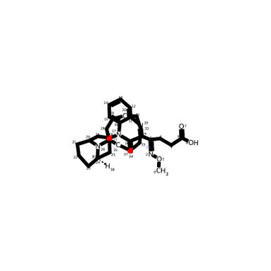 CO/N=C(\CCC(=O)O)c1nc2ccccc2n(C2CC3CCC[C@H](C2)N3C2CCCCCCCC2)c1=O